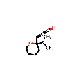 C[SiH](C)C1(C=C=C=O)CCCCO1